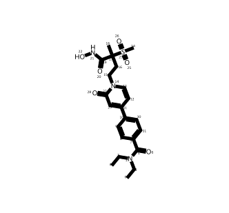 CCN(CC)C(=O)c1ccc(-c2ccn(CCC(C)(C(=O)NO)S(C)(=O)=O)c(=O)c2)cc1